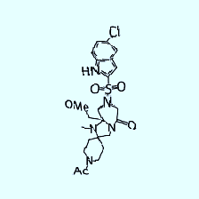 COCC12CN(S(=O)(=O)c3cc4cc(Cl)ccc4[nH]3)CC(=O)N1CC1(CCN(C(C)=O)CC1)N2C